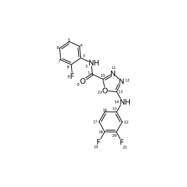 O=C(Nc1ccccc1F)c1nnc(Nc2ccc(F)c(F)c2)o1